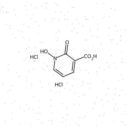 Cl.Cl.O=C(O)c1cccn(O)c1=O